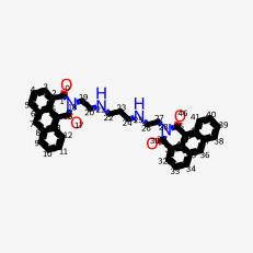 O=C1c2cccc3cc4ccccc4c(c23)C(=O)N1CCNCCCNCCN1C(=O)c2cccc3cc4ccccc4c(c23)C1=O